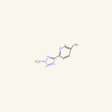 Cn1nnc(-c2ccc(C(C)(C)C)cn2)n1